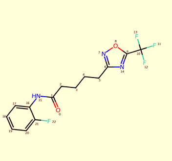 O=C(CCCCc1noc(C(F)(F)F)n1)Nc1ccccc1F